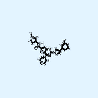 Cc1cccc(-c2cnn(-c3nc(N4CCOCC4)c4oc(C(=O)NC5CCN(C)C5)cc4n3)c2)c1